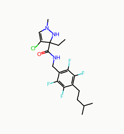 CCC1(C(=O)NCc2c(F)c(F)c(CCC(C)C)c(F)c2F)NN(C)C=C1Cl